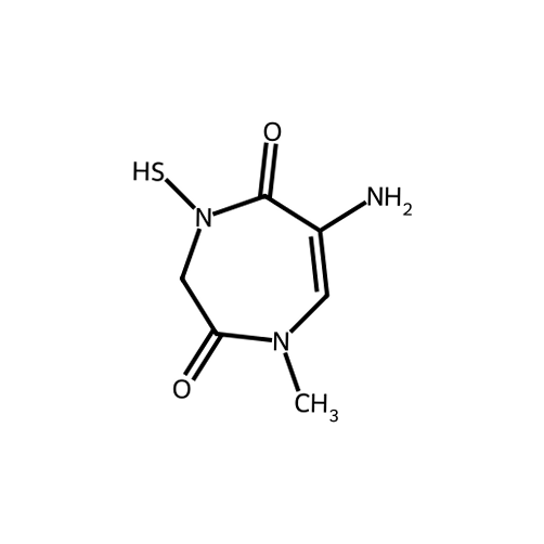 CN1C=C(N)C(=O)N(S)CC1=O